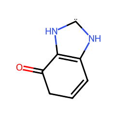 O=C1CC=CC2=C1N[C]N2